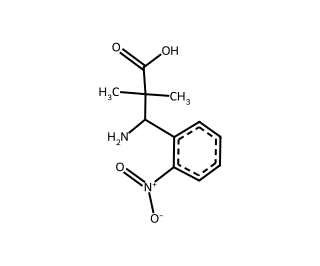 CC(C)(C(=O)O)C(N)c1ccccc1[N+](=O)[O-]